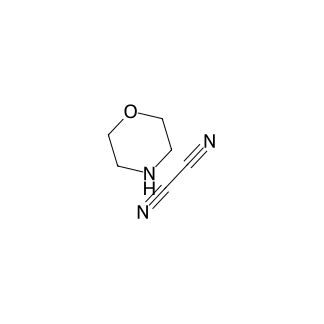 C1COCCN1.N#CC#N